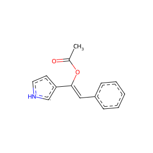 CC(=O)OC(=Cc1ccccc1)c1[c][nH]cc1